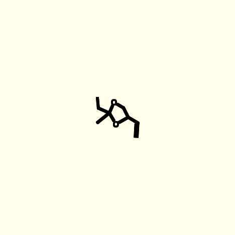 C=CC1COC(C)(CC)O1